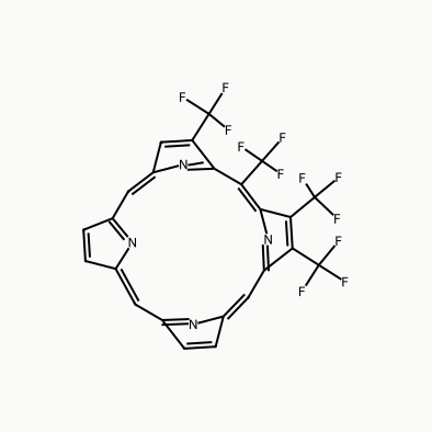 FC(F)(F)C1=CC2=CC3=NC(=CC4=NC(=CC5=NC(=C(C(F)(F)F)C1=N2)C(C(F)(F)F)=C5C(F)(F)F)C=C4)C=C3